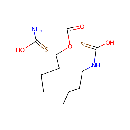 CCCCNC(O)=S.CCCCOC=O.NC(O)=S